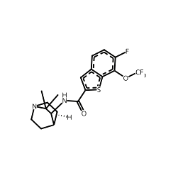 CC1(C)[C@@H](NC(=O)c2cc3ccc(F)c(OC(F)(F)F)c3s2)C2CCN1CC2